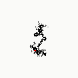 Cc1cc(N)nc(-c2c(Cl)cc3c(N4CC5CCC(C4)N5)nc(OC[C@@H]4CCCN4CCCOCCCOc4cc(-c5scnc5C)ccc4CC4(C(N)=O)CC(O)CN4C(=O)[C@H](NC(=O)C4(F)CC4)C(C)(C)C)nc3c2F)c1C(F)(F)F